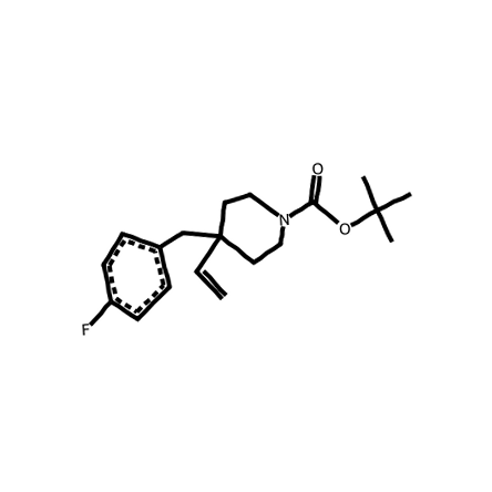 C=CC1(Cc2ccc(F)cc2)CCN(C(=O)OC(C)(C)C)CC1